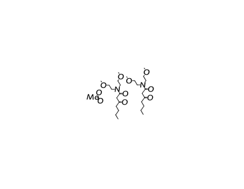 CCCCC(=O)CC(=O)N(CCOC)CCOC.CCCCC(=O)CC(=O)N(CCOC)CCOC.[O]=[Mo]=[O]